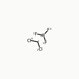 ClCCl.FB(F)F